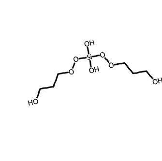 OCCCOO[Si](O)(O)OOCCCO